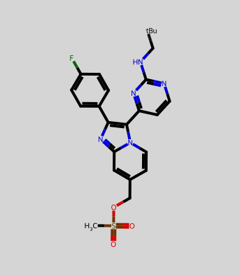 CC(C)(C)CNc1nccc(-c2c(-c3ccc(F)cc3)nc3cc(COS(C)(=O)=O)ccn23)n1